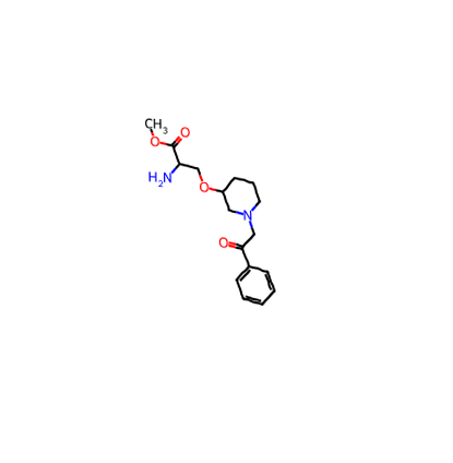 COC(=O)C(N)COC1CCCN(CC(=O)c2ccccc2)C1